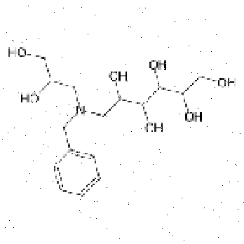 OCC(O)CN(Cc1ccccc1)CC(O)C(O)C(O)C(O)CO